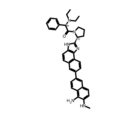 CCN(CC)[C@@H](C(=O)N1CCC[C@H]1c1nc2c(ccc3cc(-c4ccc5c(N)c(NC)ccc5c4)ccc32)[nH]1)c1ccccc1